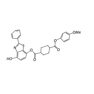 COc1ccc(OC(=O)C2CCC(C(=O)Oc3ccc(O)c4nc(-c5ccccc5)sc34)CC2)cc1